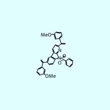 C=C(c1cccc(OC)c1)c1ccc2c(c1)c1ccc(C(=C)c3cccc(OC)c3)nc1n2S(=O)(=O)c1ccccc1